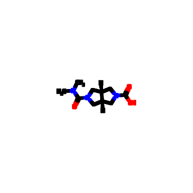 CN(C)C(=O)N1C[C@H]2CN(C(=O)O)C[C@H]2C1